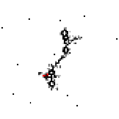 COC(=O)NCC(Cc1cnc2ccccc2c1)c1ccc(OCCCCCNC(=O)c2ccc3c(c2)C(=O)OC32c3ccc(O)cc3Oc3cc(O)ccc32)cc1